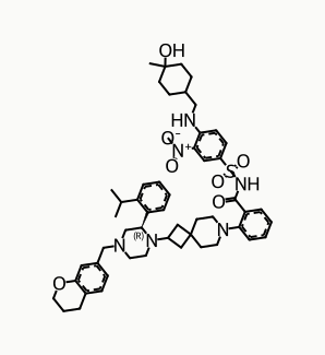 CC(C)c1ccccc1[C@@H]1CN(Cc2ccc3c(c2)OCCC3)CCN1C1CC2(CCN(c3ccccc3C(=O)NS(=O)(=O)c3ccc(NCC4CCC(C)(O)CC4)c([N+](=O)[O-])c3)CC2)C1